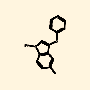 Cc1ccc2c(c1)c(Sc1ccccc1)cn2C(C)C